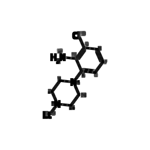 CCN1CCN(c2cccc(Cl)c2N)CC1